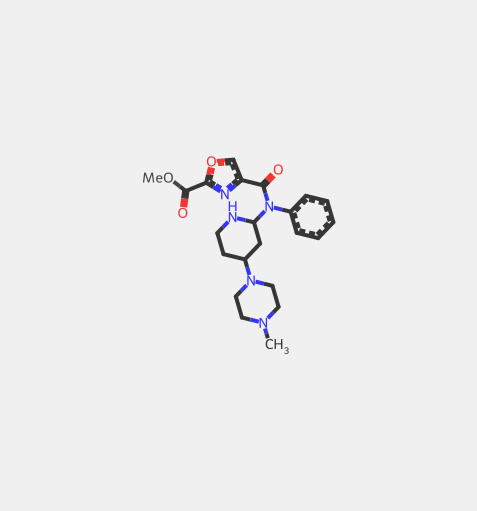 COC(=O)c1nc(C(=O)N(c2ccccc2)C2CC(N3CCN(C)CC3)CCN2)co1